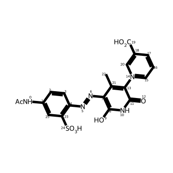 CC(=O)Nc1ccc(/N=N/c2c(O)[nH]c(=O)c(-[n+]3cccc(C(=O)O)c3)c2C)c(S(=O)(=O)O)c1